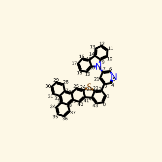 c1cc(-c2cncc(-n3c4ccccc4c4ccccc43)c2)c2sc3cc4c5ccccc5c5ccccc5c4cc3c2c1